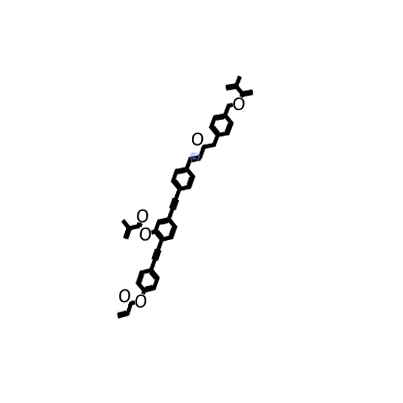 C=CC(=O)Oc1ccc(C#Cc2ccc(C#Cc3ccc(/C=C/C(=O)Cc4ccc(COC(=C)C(=C)C)cc4)cc3)cc2OC(=O)C(=C)C)cc1